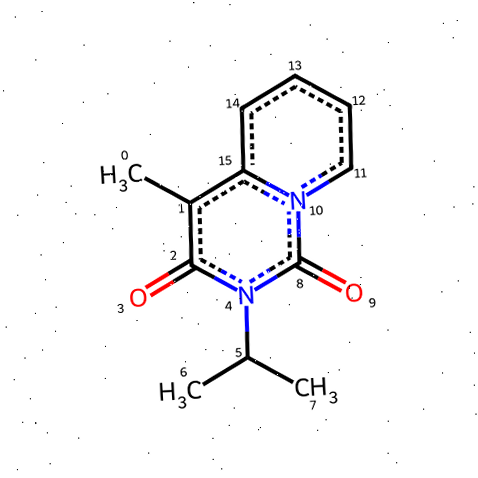 Cc1c(=O)n(C(C)C)c(=O)n2ccccc12